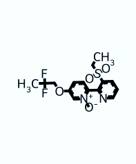 CCS(=O)(=O)c1cccnc1-c1ccc(OCC(C)(F)F)c[n+]1[O-]